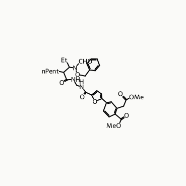 CCCCCC(C(=O)NCNC(=O)c1ccc(-c2ccc(C(=O)OC)c(CC(=O)OC)c2)o1)C(CC)N(C=O)OCc1ccccc1